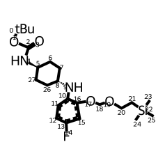 CC(C)(C)OC(=O)N[C@H]1CC[C@H](Nc2ccc(F)cc2OCOCC[Si](C)(C)C)CC1